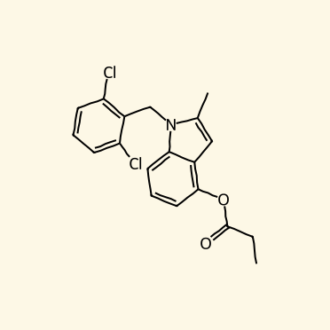 CCC(=O)Oc1cccc2c1cc(C)n2Cc1c(Cl)cccc1Cl